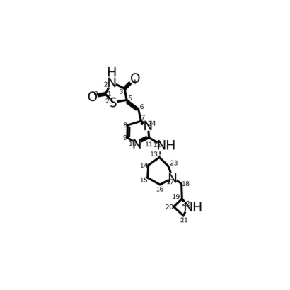 O=C1NC(=O)/C(=C/c2ccnc(N[C@H]3CCCN(CC4CCN4)C3)n2)S1